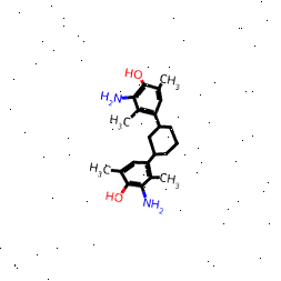 Cc1cc(C2CCCC(c3cc(C)c(O)c(N)c3C)C2)c(C)c(N)c1O